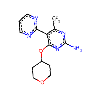 Nc1nc(OC2CCOCC2)c(-c2ncccn2)c(C(F)(F)F)n1